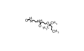 CCCC(C)(C)OCCC(=O)NCCNC=O